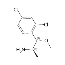 CO[C@@H](c1ccc(Cl)cc1Cl)[C@@H](C)N